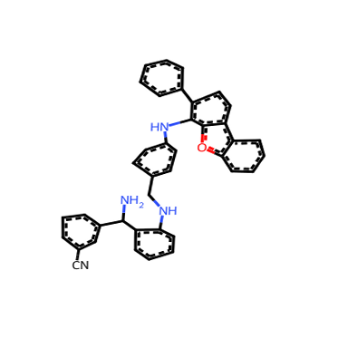 N#Cc1cccc(C(N)c2ccccc2NCc2ccc(Nc3c(-c4ccccc4)ccc4c3oc3ccccc34)cc2)c1